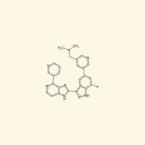 CN(C)Cc1cncc(-c2cc(F)c3[nH]nc(-c4nc5c(-c6cccnc6)nccc5[nH]4)c3c2)c1